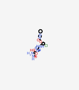 CNC(=O)[C@H]1O[C@@H](n2cnc3c(NCc4cc(Cl)ccc4OCC(=O)N4CCN(C5CCCCCC5)CC4)ncnc32)[C@H](O)[C@@H]1N